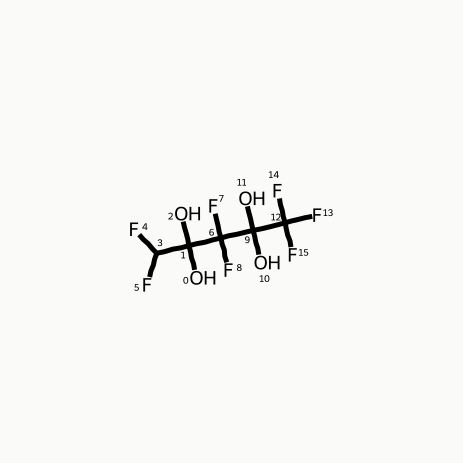 OC(O)(C(F)F)C(F)(F)C(O)(O)C(F)(F)F